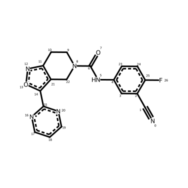 N#Cc1cc(NC(=O)N2CCc3noc(-c4ncccn4)c3C2)ccc1F